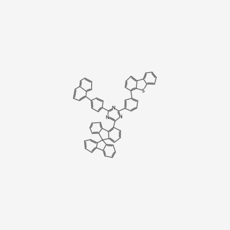 c1cc(-c2nc(-c3ccc(-c4cccc5ccccc45)cc3)nc(-c3cccc4c3-c3ccccc3C43c4ccccc4-c4ccccc43)n2)cc(-c2cccc3c2sc2ccccc23)c1